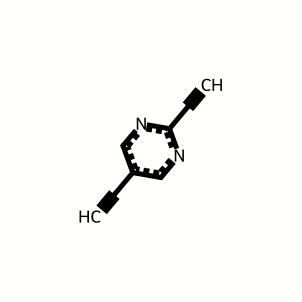 C#Cc1cnc(C#C)nc1